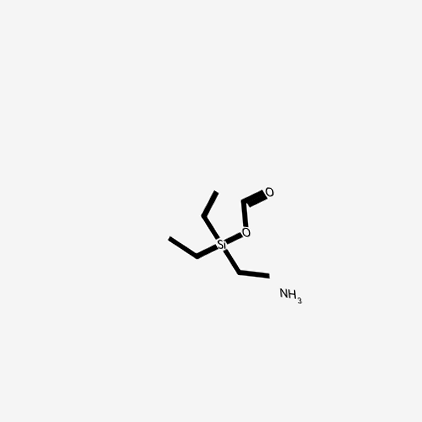 CC[Si](CC)(CC)OC=O.N